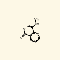 CNC(=O)c1ncccc1[N+](=O)[O-]